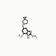 Cc1nc2cc(CN3CCC4(CC4)C3)cc(C(F)(F)F)c2[nH]1